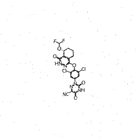 N#Cc1nn(-c2cc(Cl)c(Oc3n[nH]c(=O)c4c3CCC[C@H]4OC(F)F)c(Cl)c2)c(=O)[nH]c1=O